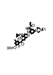 C=CC(=O)Nc1cc(N2CCN(CC)CC2)ccc1Nc1cc2c(NC3CC3)nc(C(=O)c3c(F)c(C)cc(OC)c3F)cc2cn1